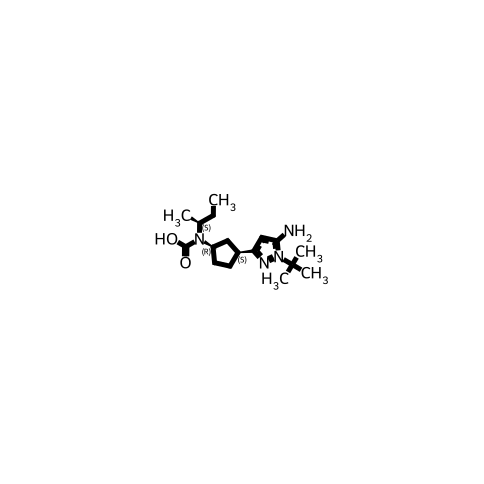 CC[C@H](C)N(C(=O)O)[C@@H]1CC[C@H](c2cc(N)n(C(C)(C)C)n2)C1